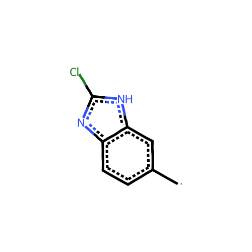 [CH2]c1ccc2nc(Cl)[nH]c2c1